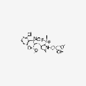 COC[C@]1(O)C[C@@H](n2ncc(-c3onc(-c4ccccc4Cl)c3C(=O)OC)c2C(F)(F)F)C1